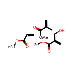 C=C(C)C(=O)OC.C=C(CO)C(=O)OC(C)C.C=CC(=O)OCCCC